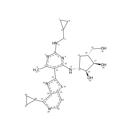 Cc1nc(NCC2CC2)nc(N[C@@H]2C[C@H](CO)[C@@H](O)[C@H]2O)c1-c1nc2c(C3CC3)nccc2s1